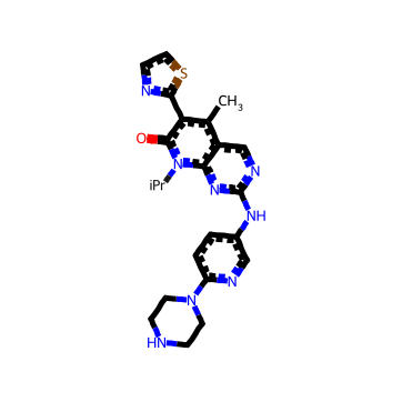 Cc1c(-c2nccs2)c(=O)n(C(C)C)c2nc(Nc3ccc(N4CCNCC4)nc3)ncc12